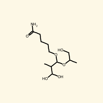 CC(CO)OC(OCCCCC(N)=O)C(C)C(O)O